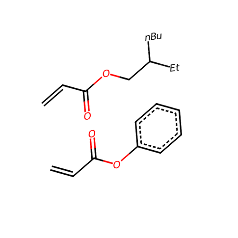 C=CC(=O)OCC(CC)CCCC.C=CC(=O)Oc1ccccc1